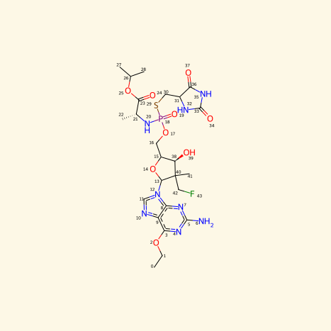 CCOc1nc(N)nc2c1ncn2C1OC(COP(=O)(N[C@H](C)C(=O)OC(C)C)SCC2NC(=O)NC2=O)[C@@H](O)C1(C)CF